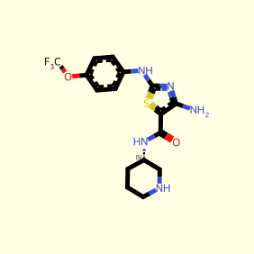 Nc1nc(Nc2ccc(OC(F)(F)F)cc2)sc1C(=O)N[C@H]1CCCNC1